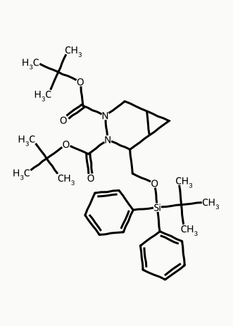 CC(C)(C)OC(=O)N1CC2CC2C(CO[Si](c2ccccc2)(c2ccccc2)C(C)(C)C)N1C(=O)OC(C)(C)C